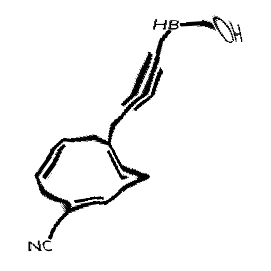 N#Cc1ccc(C#CBO)cc1